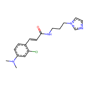 CN(C)c1ccc(/C=C/C(=O)NCCCn2ccnc2)c(Cl)c1